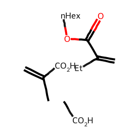 C=C(C)C(=O)O.C=C(CC)C(=O)OCCCCCC.CC(=O)O